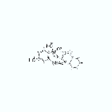 CC(=O)Nc1cc(O)ccc1[As](=O)(O)OC(=O)CC1CCCCC1C(F)(F)F